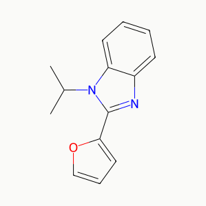 CC(C)n1c(-c2ccco2)nc2ccccc21